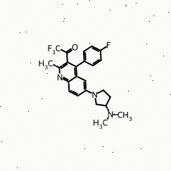 Cc1nc2ccc(N3CCC(N(C)C)C3)cc2c(-c2ccc(F)cc2)c1C(=O)C(F)(F)F